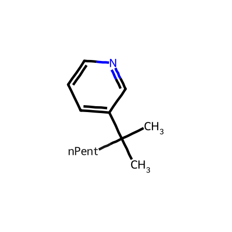 CCCCCC(C)(C)c1cccnc1